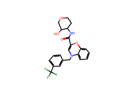 O=C(NC1CCOCC1O)C1=CN(Cc2cccc(C(F)(F)F)c2)c2ccccc2O1